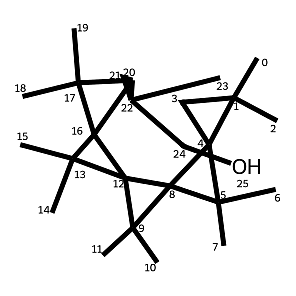 CC1(C)CC12C(C)(C)C21C(C)(C)C12C(C)(C)C21C(C)(C)C12CC2(C)CO